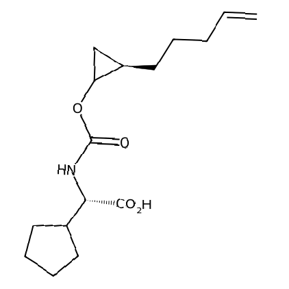 C=CCCC[C@@H]1CC1OC(=O)N[C@H](C(=O)O)C1CCCC1